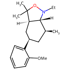 CCN1OC(C)(C)[C@@H]2C[C@H](c3ccccc3OC)C[C@H](C)[C@H]21